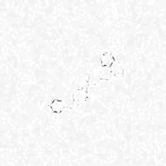 C[C@@H]1CN(Cc2ccc(F)cc2)CCN1C(=O)CC1CNc2cc(Cl)ccc2O1